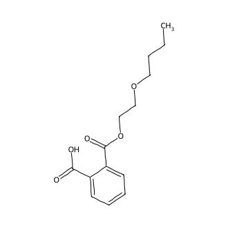 CCCCOCCOC(=O)c1ccccc1C(=O)O